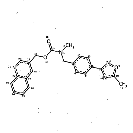 CN(Cc1ccc(-c2noc(C(F)(F)F)n2)cc1)C(=O)OCc1cnc2ccccc2c1